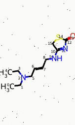 CCN(CC)CC=CCNC1=NC(=O)SC1